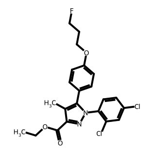 CCOC(=O)c1nn(-c2ccc(Cl)cc2Cl)c(-c2ccc(OCCCF)cc2)c1C